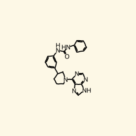 O=C(Nc1ccccc1)Nc1cccc(C2CCCN(c3ncnc4[nH]cnc34)C2)c1